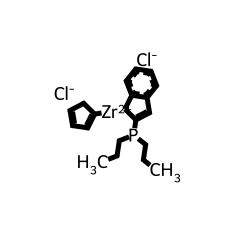 CCCP(CCC)C1=Cc2ccccc2[CH]1[Zr+2][C]1=CC=CC1.[Cl-].[Cl-]